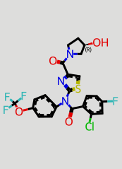 O=C(c1csc(N(C(=O)c2ccc(F)cc2Cl)c2ccc(OC(F)(F)F)cc2)n1)N1CC[C@@H](O)C1